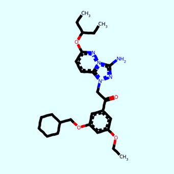 CCOc1cc(OCC2CCCCC2)cc(C(=O)C[n+]2nc(N)n3nc(OC(CC)CC)ccc32)c1